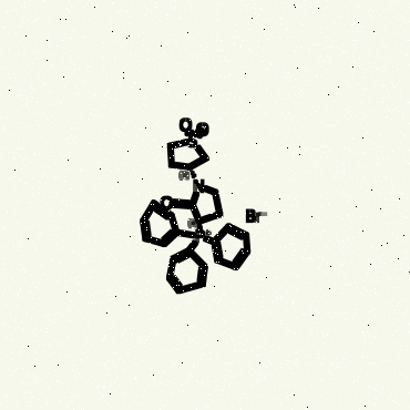 O=C1[C@H]([P+](c2ccccc2)(c2ccccc2)c2ccccc2)CCN1[C@@H]1CCS(=O)(=O)C1.[Br-]